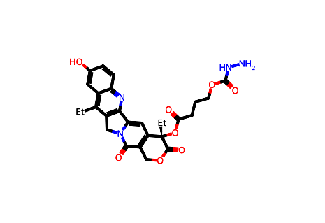 CCc1c2c(nc3ccc(O)cc13)-c1cc3c(c(=O)n1C2)COC(=O)[C@@]3(CC)OC(=O)CCCOC(=O)NN